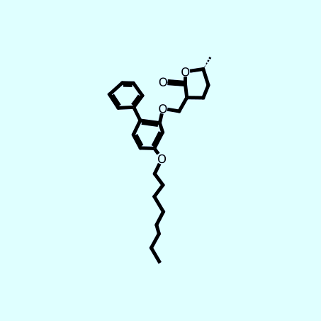 CCCCCCCCOc1ccc(-c2ccccc2)c(OCC2CC[C@@H](C)OC2=O)c1